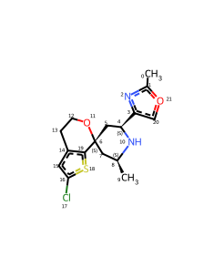 Cc1nc([C@@H]2C[C@]3(C[C@H](C)N2)OCCc2cc(Cl)sc23)co1